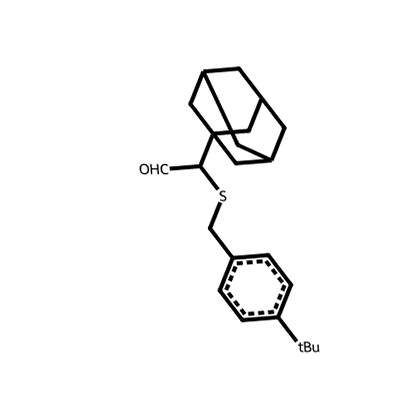 CC(C)(C)c1ccc(CSC(C=O)C23CC4CC(CC(C4)C2)C3)cc1